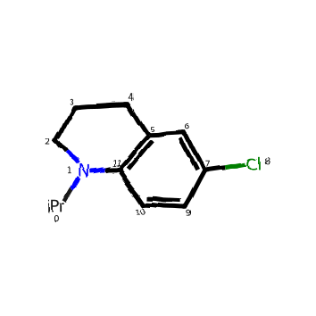 CC(C)N1CCCc2cc(Cl)ccc21